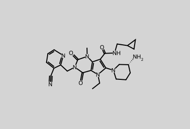 CCn1c(N2CCC[C@@H](N)C2)c(C(=O)NCC2CC2)c2c1c(=O)n(Cc1ncccc1C#N)c(=O)n2C